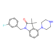 CC1(C)C(=O)N(Cc2cccc(F)c2)c2cccc(N3CCNCC3)c21